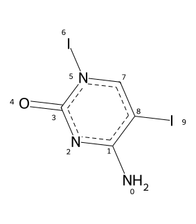 Nc1nc(=O)n(I)cc1I